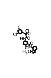 Cn1ccc2cccc(NC(=O)c3cc(NC(=O)C4C(c5cc(Cl)cc(Cl)c5)C4(Cl)Cl)ccc3Cl)c21